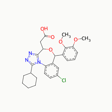 COc1cccc(C2OC(CC(=O)O)c3nnc(C4CCCCC4)n3-c3ccc(Cl)cc32)c1OC